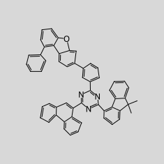 CC1(C)c2ccccc2-c2c(-c3nc(-c4cccc(-c5ccc6c(c5)oc5cccc(-c7ccccc7)c56)c4)nc(-c4cc5ccccc5c5ccccc45)n3)cccc21